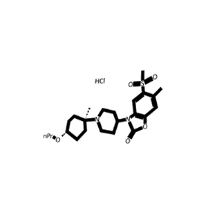 CCCO[C@H]1CC[C@](C)(N2CCC(n3c(=O)oc4cc(C)c(S(C)(=O)=O)cc43)CC2)CC1.Cl